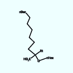 CCCCCCCCCCCCCCCCC(CC)(OCCCCCC)C(=O)O